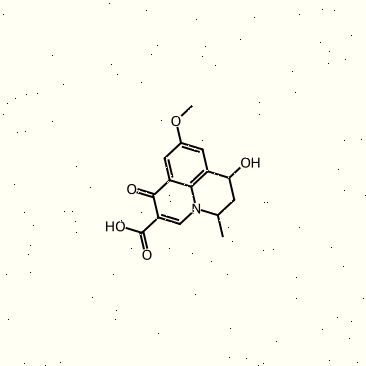 COc1cc2c3c(c1)c(=O)c(C(=O)O)cn3C(C)CC2O